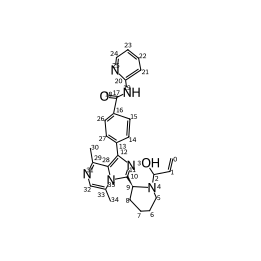 C=CC(O)N1CCCC[C@H]1c1nc(-c2ccc(C(=O)Nc3ccccn3)cc2)c2c(C)ncc(C)n12